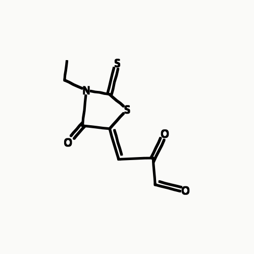 CCN1C(=O)/C(=C/C(=O)C=O)SC1=S